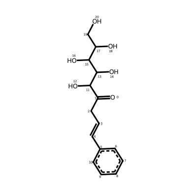 O=C(CC=Cc1ccccc1)C(O)C(O)C(O)C(O)CO